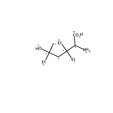 CCC(C)(O)CC(CC)(CC)C(N)C(=O)O